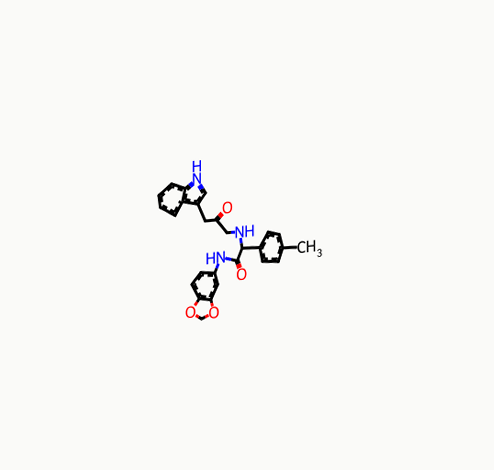 Cc1ccc(C(NCC(=O)Cc2c[nH]c3ccccc23)C(=O)Nc2ccc3c(c2)OCO3)cc1